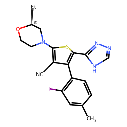 CC[C@H]1CN(c2sc(-c3nnc[nH]3)c(-c3ccc(C)cc3I)c2C#N)CCO1